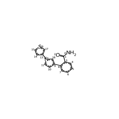 NC(=O)c1ccccc1-c1ccn(-c2ccsc2)c1